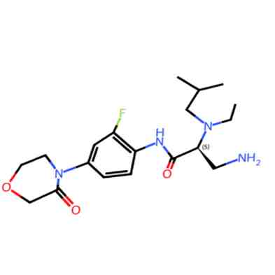 CCN(CC(C)C)[C@@H](CN)C(=O)Nc1ccc(N2CCOCC2=O)cc1F